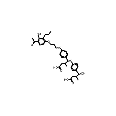 CCCc1c(OCCCSc2ccc(C(Sc3ccc(C(O)C(C)CC(=O)O)cc3)C(C)CC(=O)O)cc2)ccc(C(C)=O)c1O